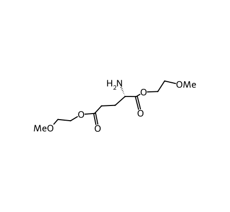 COCCOC(=O)CC[C@H](N)C(=O)OCCOC